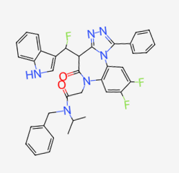 CC(C)N(Cc1ccccc1)C(=O)CN1C(=O)C(C(F)c2c[nH]c3ccccc23)c2nnc(-c3ccccc3)n2-c2cc(F)c(F)cc21